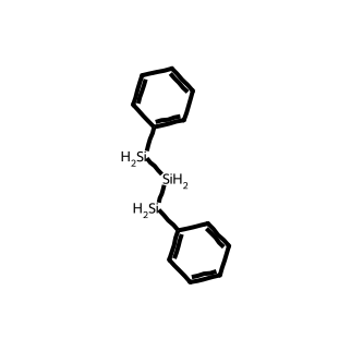 c1ccc([SiH2][SiH2][SiH2]c2ccccc2)cc1